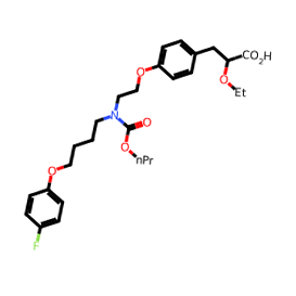 CCCOC(=O)N(CCCCOc1ccc(F)cc1)CCOc1ccc(CC(OCC)C(=O)O)cc1